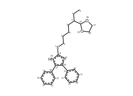 CCC(CCCCSc1nc(-c2ccccc2)c(-c2ccccc2)[nH]1)C1OCCO1